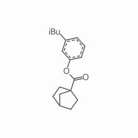 CCC(C)c1cccc(OC(=O)C23CCC(CC2)C3)c1